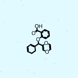 O=C(O)c1ccccc1OC(C1=CC=CCC1)C1=COC=CO1